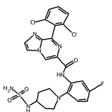 NS(=O)(=O)NC1CCN(c2ccc(F)cc2NC(=O)c2cn3ccnc3c(-c3c(Cl)cccc3Cl)n2)CC1